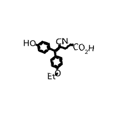 CCOc1ccc(/C(=C(/C#N)CCC(=O)O)c2ccc(O)cc2)cc1